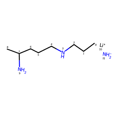 CCCNCCCC(C)N.[Li+].[NH2-]